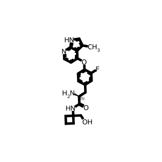 Cc1c[nH]c2nccc(Oc3ccc(C[C@H](N)C(=O)NC4(CO)CCC4)cc3F)c12